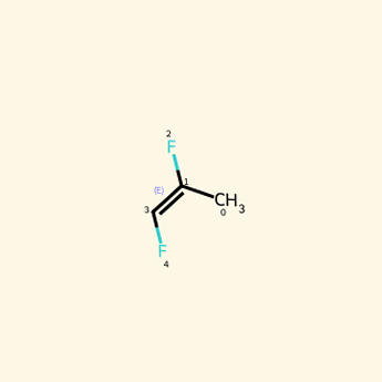 C/C(F)=C\F